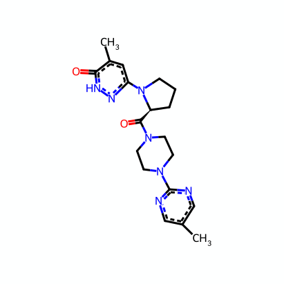 Cc1cnc(N2CCN(C(=O)[C@@H]3CCCN3c3cc(C)c(=O)[nH]n3)CC2)nc1